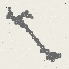 Cn1cc(-c2ccc(N(C(=O)NCc3ccc(OCCOCCOCCOCCOCCOCCOCCNC(=O)COc4cccc5c4C(=O)N(C4CCC(=O)NC4=O)C5=O)cc3)[C@H]3CC[C@H](Nc4ccc(C#N)cn4)CC3)cc2)ccc1=O